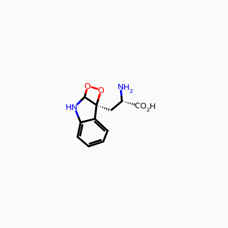 N[C@@H](C[C@@]12OOC1Nc1ccccc12)C(=O)O